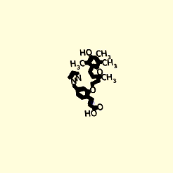 Cc1c(C)c2c(c(C)c1O)CCC(C)(CCOc1cc(Cn3cccn3)ccc1/C=C/C(=O)O)O2